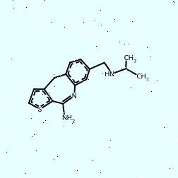 CC(C)NCc1ccc2c(c1)N=C(N)c1sccc1C2